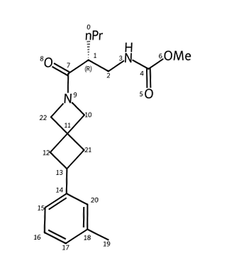 CCC[C@H](CNC(=O)OC)C(=O)N1CC2(CC(c3cccc(C)c3)C2)C1